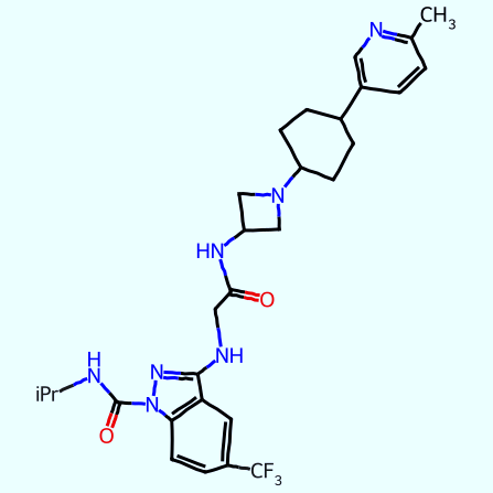 Cc1ccc(C2CCC(N3CC(NC(=O)CNc4nn(C(=O)NC(C)C)c5ccc(C(F)(F)F)cc45)C3)CC2)cn1